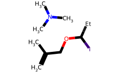 C=C(C)COC(I)CC.CN(C)C